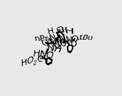 CCC[C@H](NC(=O)C1C[C@@H](O)CN1C(=O)[C@@H](NC(=O)OCC(C)(C)C)C1CCCCC1)C(=O)C(=O)NCC(=O)N[C@H](C(=O)O)c1ccccc1